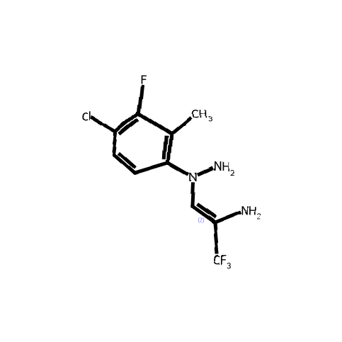 Cc1c(N(N)/C=C(\N)C(F)(F)F)ccc(Cl)c1F